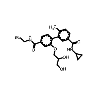 Cc1ccc(C(=O)NC2CC2)cc1-c1ccc(C(=O)NCC(C)(C)C)cc1OCC(O)CO